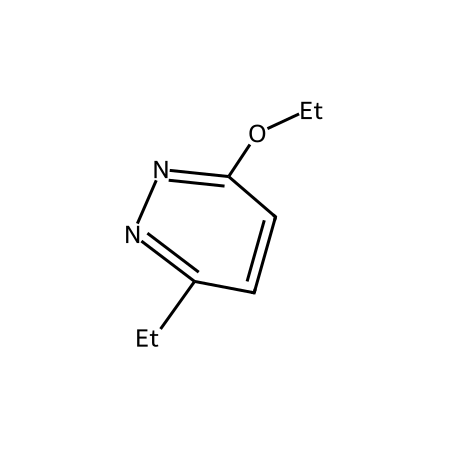 CCOc1ccc(CC)nn1